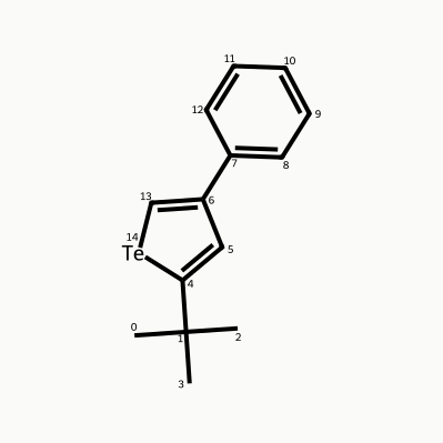 CC(C)(C)c1cc(-c2ccccc2)c[te]1